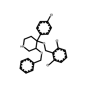 Clc1ccc(C2(OCc3c(Cl)cccc3Cl)CCNCC2OCc2ccccc2)cc1